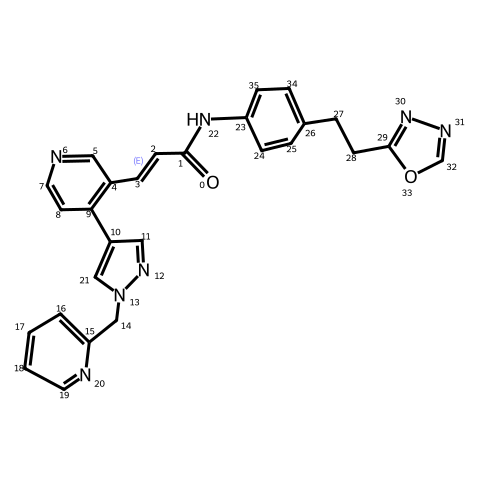 O=C(/C=C/c1cnccc1-c1cnn(Cc2ccccn2)c1)Nc1ccc(CCc2nnco2)cc1